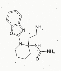 NCCC1(NC(N)=O)CCCCN1c1nc2ccccc2o1